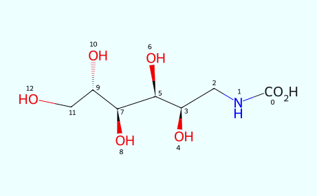 O=C(O)NC[C@@H](O)[C@H](O)[C@@H](O)[C@@H](O)CO